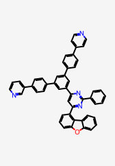 c1ccc(-c2nc(-c3cc(-c4ccc(-c5ccncc5)cc4)cc(-c4ccc(-c5cccnc5)cc4)c3)cc(-c3cccc4oc5ccccc5c34)n2)cc1